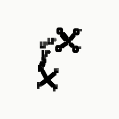 FC(F)(F)N=S.O=P([O-])([O-])[O-].[Li+].[Li+].[Li+]